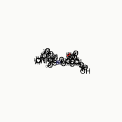 COc1cc(C2c3[nH]c4ccccc4c3CC3COC(=O)N32)cc(OC)c1O/C=C/C(=O)Oc1ccc2c(c1)Oc1cc(OCC(=O)O)ccc1C21OC(=O)c2ccccc21